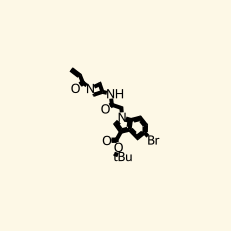 C=CC(=O)N1CC(NC(=O)Cn2cc(C(=O)OC(C)(C)C)c3cc(Br)ccc32)C1